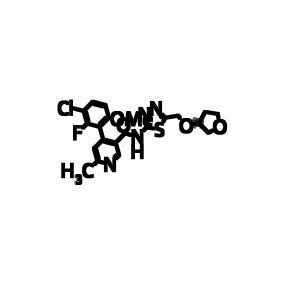 COc1ccc(Cl)c(F)c1-c1cc(C)ncc1C(=O)Nc1nnc(CO[C@H]2CCOC2)s1